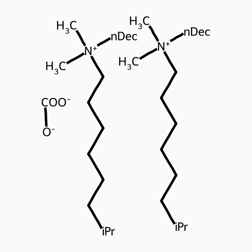 CCCCCCCCCC[N+](C)(C)CCCCCCC(C)C.CCCCCCCCCC[N+](C)(C)CCCCCCC(C)C.O=C([O-])[O-]